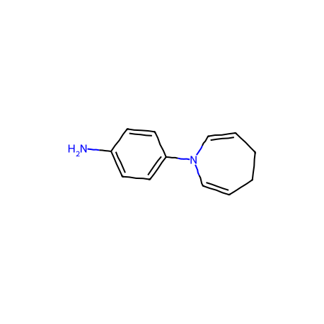 Nc1ccc(N2C=CCCC=C2)cc1